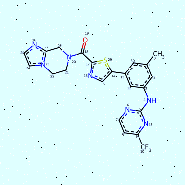 Cc1cc(Nc2nccc(C(F)(F)F)n2)cc(-c2cnc(C(=O)N3CCn4ccnc4C3)s2)c1